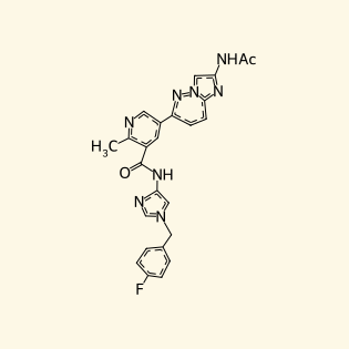 CC(=O)Nc1cn2nc(-c3cnc(C)c(C(=O)Nc4cn(Cc5ccc(F)cc5)cn4)c3)ccc2n1